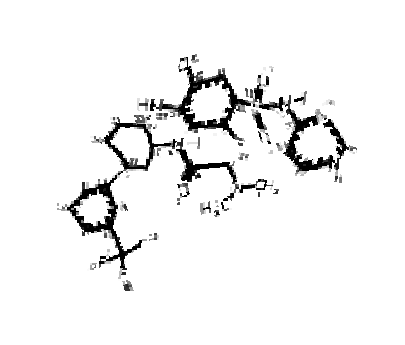 CN(C)CC(=O)N[C@H]1C[C@@H](c2cccc(C(F)(F)F)c2)CC[C@@H]1Nc1cc(F)c(S(=O)(=O)Nc2ccncn2)cc1Cl